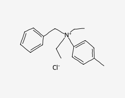 CC[N+](CC)(Cc1ccccc1)c1ccc(C)cc1.[Cl-]